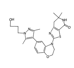 Cc1nn(CCCO)c(C)c1-c1ccc2c(c1)N(c1nc3c(s1)C(=O)NC(C)(C)C3)CCO2